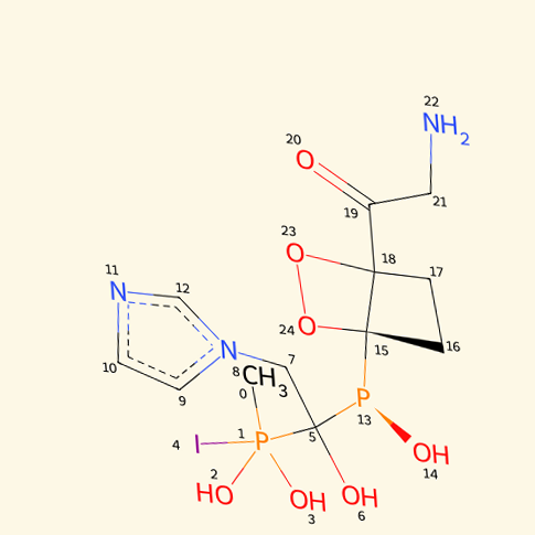 CP(O)(O)(I)C(O)(Cn1ccnc1)[P@](O)[C@@]12CCC1(C(=O)CN)OO2